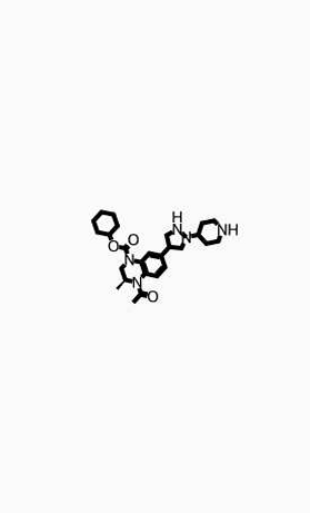 CC(=O)N1c2ccc(C3CNN(C4CCNCC4)C3)cc2N(C(=O)OC2CCCCC2)C[C@@H]1C